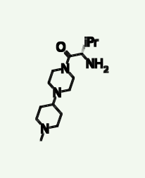 CC(C)[C@H](N)C(=O)N1CCN(C2CCN(C)CC2)CC1